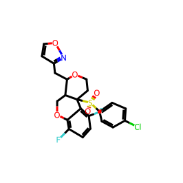 O=S(=O)(c1ccc(Cl)cc1)C12CCOC(Cc3ccon3)C1COc1c(F)ccc(F)c12